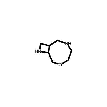 C1COCC2NCC2CN1